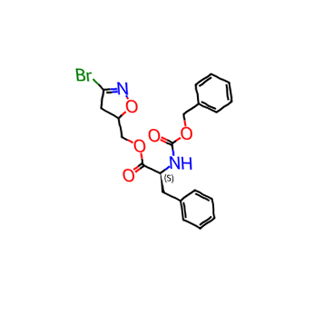 O=C(N[C@@H](Cc1ccccc1)C(=O)OCC1CC(Br)=NO1)OCc1ccccc1